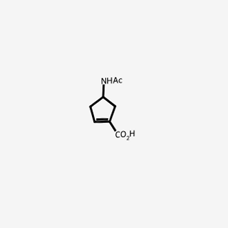 CC(=O)NC1CC=C(C(=O)O)C1